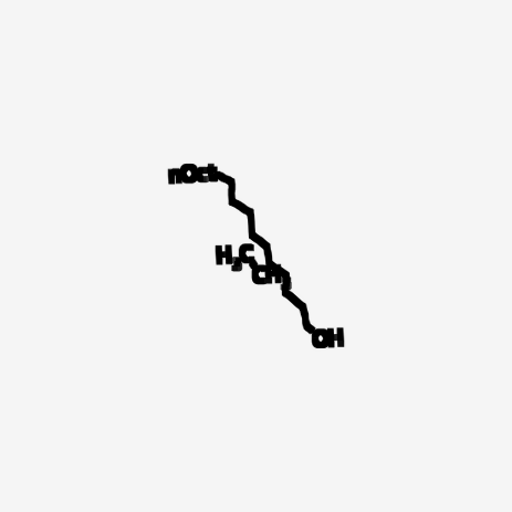 CC.CCCCCCCCCCCCCCCCCCO